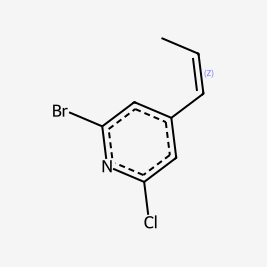 C/C=C\c1cc(Cl)nc(Br)c1